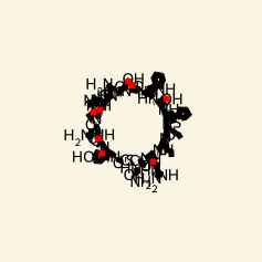 CCCC[C@H]1C(=O)N(C)[C@@H](CCCC)C(=O)N[C@@H](CCCNC(=N)N)C(=O)NC(C(=O)NCC(N)=O)CSCC(=O)N[C@@H](Cc2ccc(O)cc2)C(=O)N(C)[C@@H](C)C(=O)N[C@@H](CC(N)=O)C(=O)N2CCC[C@H]2C(=O)N[C@@H](Cc2cnc[nH]2)C(=O)N[C@@H](CC(N)=O)C(=O)N2C[C@H](O)C[C@H]2C(=O)N[C@@H](Cc2c[nH]c3ccccc23)C(=O)N[C@@H](CO)C(=O)N[C@@H](Cc2csc3ccccc23)C(=O)N1C